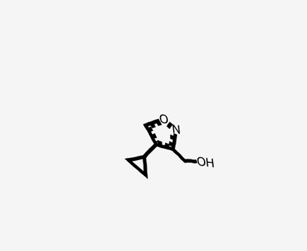 OCc1nocc1C1CC1